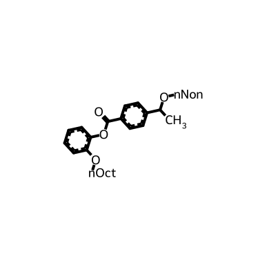 CCCCCCCCCOC(C)c1ccc(C(=O)Oc2ccccc2OCCCCCCCC)cc1